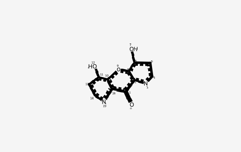 O=c1c2nccc(O)c2oc2c(O)ccnc12